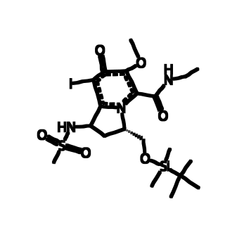 CCNC(=O)c1c(OC)c(=O)c(I)c2n1[C@H](CO[Si](C)(C)C(C)(C)C)CC2NS(C)(=O)=O